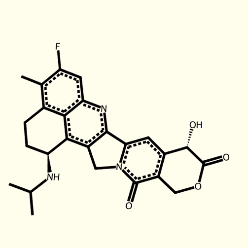 Cc1c(F)cc2nc3c(c4c2c1CC[C@@H]4NC(C)C)Cn1c-3cc2c(c1=O)COC(=O)[C@H]2O